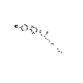 CCCCCCCCC(F)COc1cnc(-c2ccc(O)cc2)nc1